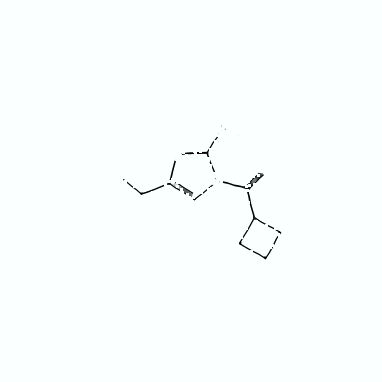 CCC1=CN(C(=O)C2CCC2)C(N)S1